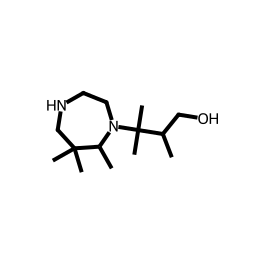 CC1N(C(C)(C)C(C)CO)CCNCC1(C)C